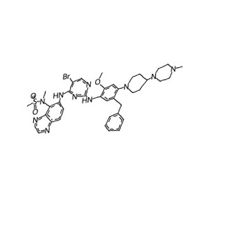 COc1cc(N2CCC(N3CCN(C)CC3)CC2)c(Cc2ccccc2)cc1Nc1ncc(Br)c(Nc2ccc3nccnc3c2N(C)S(C)(=O)=O)n1